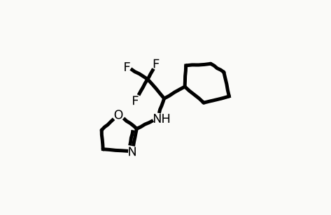 FC(F)(F)C(NC1=NCCO1)C1CCCCC1